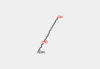 CCCCCCCCCCCCCCCCOC(=O)CCCCCCCCCCCCCCCCCO